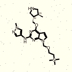 C[C@@H]1CNC[C@H]1COc1nc(Nc2cnn(C)c2)nc2c1ccn2COCC[Si](C)(C)C